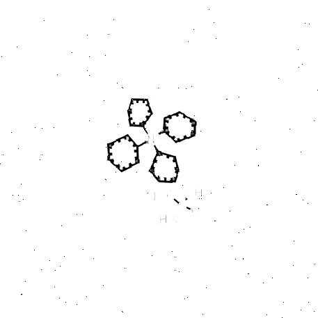 C[P+](C)(C)C.[I-].[I-].c1ccc([N+](c2ccccc2)(c2ccccc2)c2ccccc2)cc1